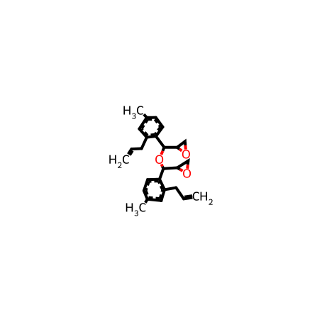 C=CCc1cc(C)ccc1C(OC(c1ccc(C)cc1CC=C)C1CO1)C1CO1